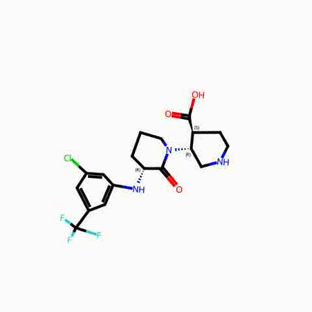 O=C(O)[C@H]1CCNC[C@@H]1N1CCC[C@@H](Nc2cc(Cl)cc(C(F)(F)F)c2)C1=O